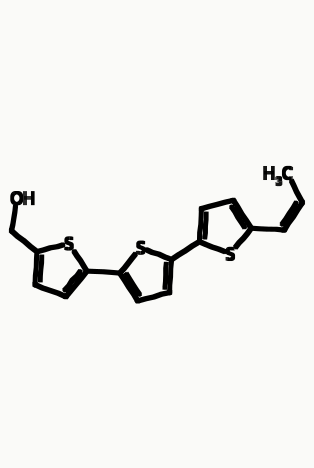 C/C=C\c1ccc(-c2ccc(-c3ccc(CO)s3)s2)s1